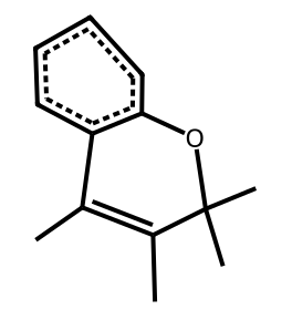 CC1=C(C)C(C)(C)Oc2ccccc21